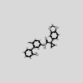 Cc1ccc(NC(=O)C2(c3ccc4c(c3)OCO4)CC2)cc1-c1ccccc1Cl